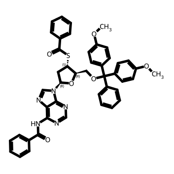 COc1ccc(C(OC[C@H]2O[C@@H](n3cnc4c(NC(=O)c5ccccc5)ncnc43)C[C@@H]2SC(=O)c2ccccc2)(c2ccccc2)c2ccc(OC)cc2)cc1